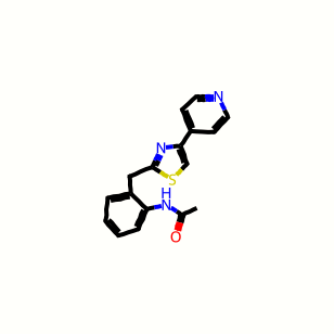 CC(=O)Nc1ccccc1Cc1nc(-c2ccncc2)cs1